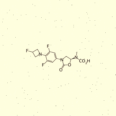 CN(C(=O)O)[C@@H]1CN(c2cc(F)c(N3CC(F)C3)c(F)c2)C(=O)O1